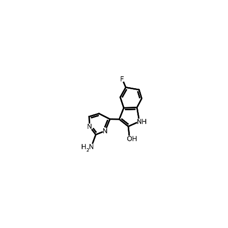 Nc1nccc(-c2c(O)[nH]c3ccc(F)cc23)n1